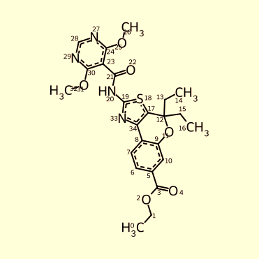 CCOC(=O)c1ccc2c(c1)OC(CC)(CC)c1sc(NC(=O)c3c(OC)ncnc3OC)nc1-2